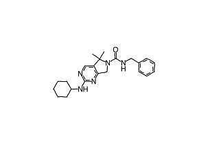 CC1(C)c2cnc(NC3CCCCC3)nc2CN1C(=O)NCc1ccccc1